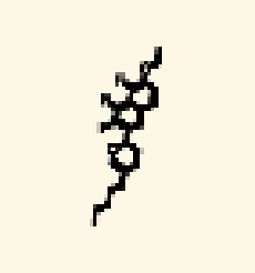 CCCCCC1=COC(c2cc3ccc(OCC)c(F)c3c(F)c2F)CC1